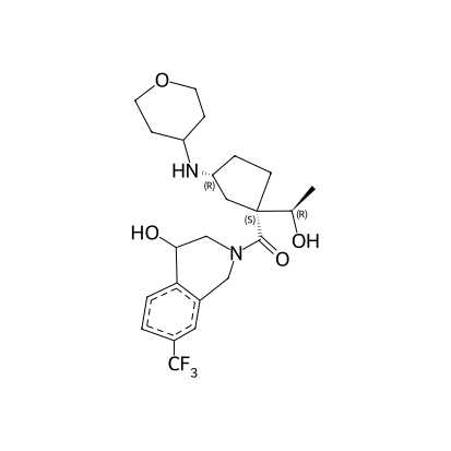 C[C@@H](O)[C@]1(C(=O)N2Cc3cc(C(F)(F)F)ccc3C(O)C2)CC[C@@H](NC2CCOCC2)C1